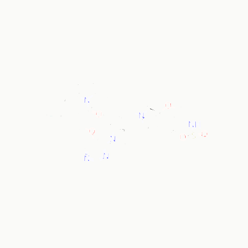 CC(C)N(C(=O)c1cc(F)ccc1Oc1cncnc1N1CC2(CCN(C[C@@H]3CC[C@@H](NS(C)(=O)=O)CO3)CC2)C1)C(C)C